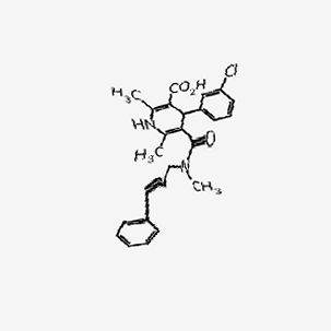 CC1=C(C(=O)O)C(c2cccc(Cl)c2)C(C(=O)N(C)CC=Cc2ccccc2)=C(C)N1